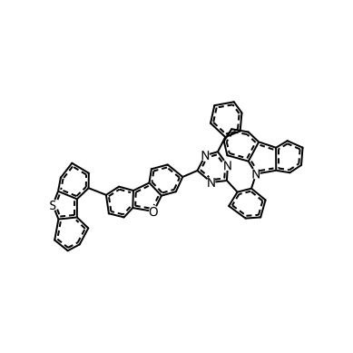 c1ccc(-c2nc(-c3ccc4c(c3)oc3ccc(-c5cccc6sc7ccccc7c56)cc34)nc(-c3ccccc3-n3c4ccccc4c4ccccc43)n2)cc1